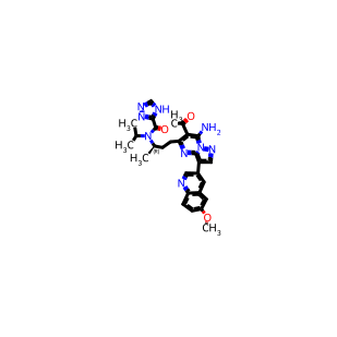 COc1ccc2ncc(-c3cnn4c(N)c(C(C)=O)c(CC[C@@H](C)N(C(=O)c5nnc[nH]5)C(C)C)nc34)cc2c1